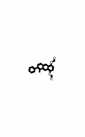 Cc1c(-c2ccccc2)ccc2cc3c(OC=O)ccc(OC=O)c3cc12